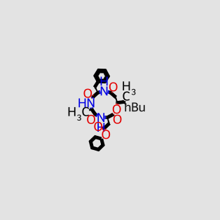 CCCC[C@H](C)[C@@H]1CC(=O)N[C@H](Cc2ccccc2)C(=O)N[C@H](C)C(=O)N[C@H](CC(=O)OC2CCCCC2)C(=O)O1